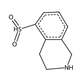 O=[SH](=O)c1cccc2c1CCNC2